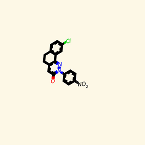 O=c1cc2c(nn1-c1ccc([N+](=O)[O-])cc1)-c1cc(Cl)ccc1CC2